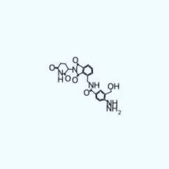 NNc1ccc(C(=O)NCc2cccc3c2C(=O)N(C2CCC(=O)NC2=O)C3=O)cc1CO